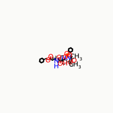 COC(=O)C(C)NP(=O)(OCC(C)(C)C(O)C(=O)NCCC(=O)OCc1ccccc1)Oc1ccccc1